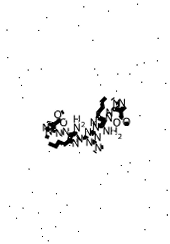 CCCCc1nn(-c2nc(N(C)C)nc(-n3nc(CCCC)c(/N=N/c4c(C(=O)OC)cnn4C)c3N)n2)c(N)c1/N=N/c1c(C(=O)OC)cnn1C